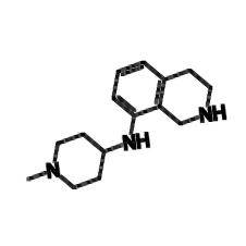 CN1CCC(Nc2cccc3c2CNCC3)CC1